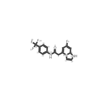 O=C(CC1=CC(F)=CC2NC=CN12)Nc1ccc(C(F)(F)F)cc1